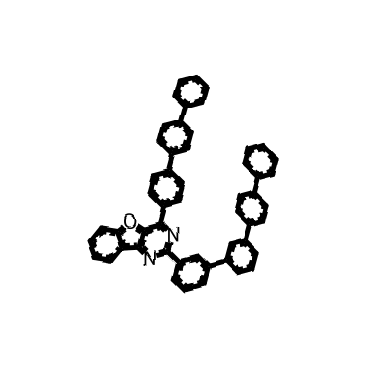 c1ccc(-c2ccc(-c3ccc(-c4nc(-c5cccc(-c6cccc(-c7ccc(-c8ccccc8)cc7)c6)c5)nc5c4oc4ccccc45)cc3)cc2)cc1